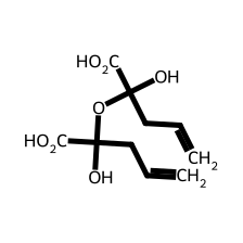 C=CCC(O)(OC(O)(CC=C)C(=O)O)C(=O)O